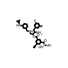 C#Cc1cc(C(=O)OC(CNCc2cccc(NC3CC3)c2)C(N)Cc2cc(F)cc(F)c2)cc(C(=O)N(CCC)CCC)c1